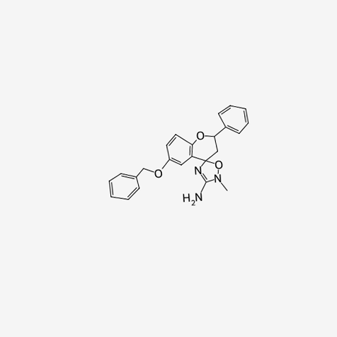 CN1OC2(CC(c3ccccc3)Oc3ccc(OCc4ccccc4)cc32)N=C1N